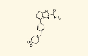 NC(=O)c1nc2cccc(-c3ccc(CN4CCS(=O)(=O)CC4)cc3)n2n1